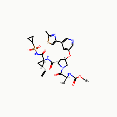 C=C[C@@H]1C[C@]1(NC(=O)[C@@H]1C[C@@H](Oc2cncc(-c3csc(C)n3)c2)CN1C(=O)[C@@H](NC(=O)OC(C)(C)C)C(C)(C)C)C(=O)NS(=O)(=O)C1CC1